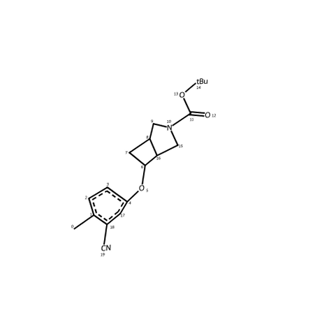 Cc1ccc(OC2CC3CN(C(=O)OC(C)(C)C)CC32)cc1C#N